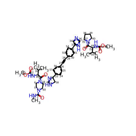 CNC(=O)N1CCN(C(=O)[C@@H](NC(=O)OC)C(C)C)[C@H](C2=NC(c3ccc(C#Cc4ccc(-c5cnc([C@@H]6CCCN6C(=O)[C@@H](NC(=O)OC)C(C)C)[nH]5)cc4)cc3)CN2)C1